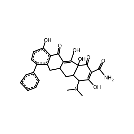 CN(C)C1C(O)=C(C(N)=O)C(=O)C2(O)C(O)=C3C(=O)c4c(O)ccc(-c5ccccc5)c4CC3CC12